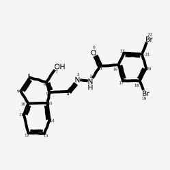 O=C(N/N=C/c1c(O)ccc2ccccc12)c1cc(Br)cc(Br)c1